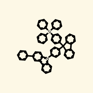 c1ccc(-c2ccc3c(c2)c2ccccc2n3-c2ccc(C3(c4ccc([Si](c5ccccc5)(c5ccccc5)c5ccccc5)cc4)c4ccccc4-c4ccccc43)cc2)cc1